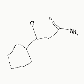 NC(=O)CC(Cl)C1CCCCC1